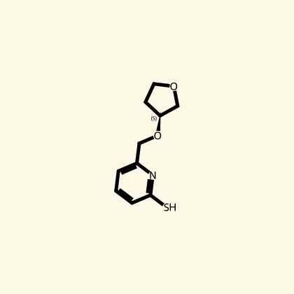 Sc1cccc(CO[C@H]2CCOC2)n1